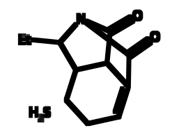 CCC1C2CCC=C3C(=O)N1C(=O)C32.S